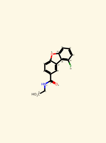 O=C(O)CNC(=O)c1ccc2oc3cccc(F)c3c2c1